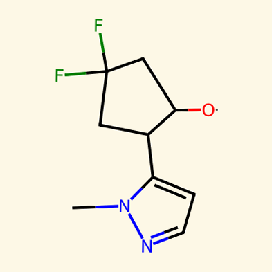 Cn1nccc1C1CC(F)(F)CC1[O]